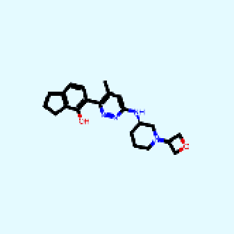 Cc1cc(N[C@@H]2CCCN(C3COC3)C2)nnc1-c1ccc2c(c1O)CCC2